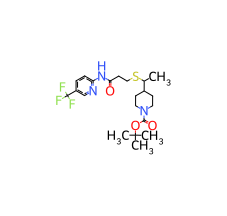 CC(SCCC(=O)Nc1ccc(C(F)(F)F)cn1)C1CCN(C(=O)OC(C)(C)C)CC1